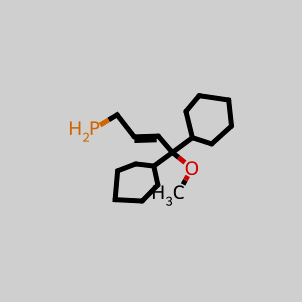 COC(C=CCP)(C1CCCCC1)C1CCCCC1